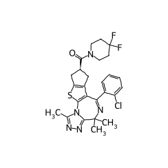 Cc1nnc2n1-c1sc3c(c1C(c1ccccc1Cl)=NC2(C)C)C[C@H](C(=O)N1CCC(F)(F)CC1)C3